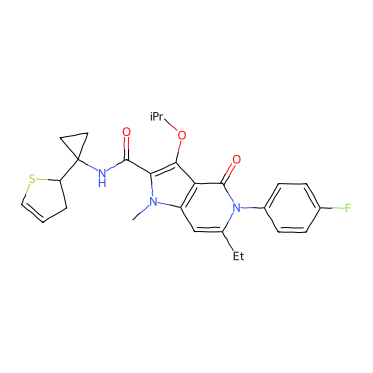 CCc1cc2c(c(OC(C)C)c(C(=O)NC3(C4CC=CS4)CC3)n2C)c(=O)n1-c1ccc(F)cc1